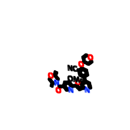 C=C1CN(C(=O)c2cnc(-c3cc4nccc(-c5ccc(OC6CCOCC6)c(C#N)c5)c4o3)c(OC)c2)C(C)CO1